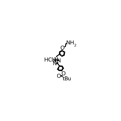 CC(C)(C)C(=O)Oc1ccc(-c2nnn(Cc3cccc(OCCN)c3)n2)cc1.Cl